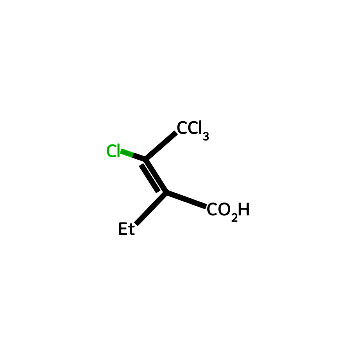 CCC(C(=O)O)=C(Cl)C(Cl)(Cl)Cl